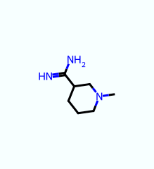 CN1CCCC(C(=N)N)C1